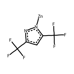 FC(F)(F)c1cc(C(F)(F)F)[n]([Zn])n1